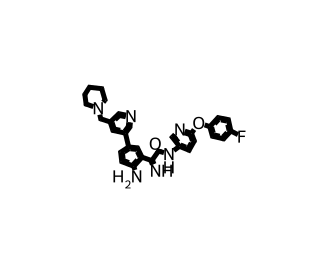 N=C(C(=O)Nc1ccc(Oc2ccc(F)cc2)nc1)c1cc(-c2cncc(CN3CCCCC3)c2)ccc1N